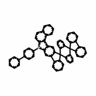 c1ccc(-c2ccc(-n3c4cc5c(cc4c4c6ccccc6ccc43)C3(c4ccccc4-5)c4ccccc4C4(c5ccccc5-c5ccccc54)c4ccccc43)cc2)cc1